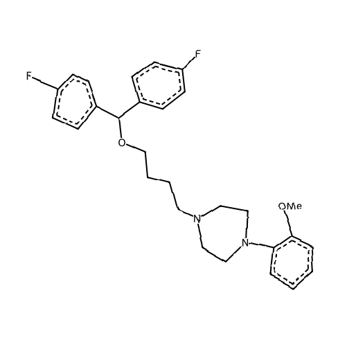 COc1ccccc1N1CCN(CCCCOC(c2ccc(F)cc2)c2ccc(F)cc2)CC1